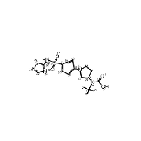 CC(C)(C)N(C(=O)O)[C@@H]1CCN(c2ccc(S(=O)(=O)Nc3ncns3)cc2)C1